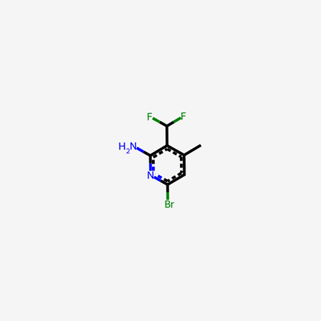 Cc1cc(Br)nc(N)c1C(F)F